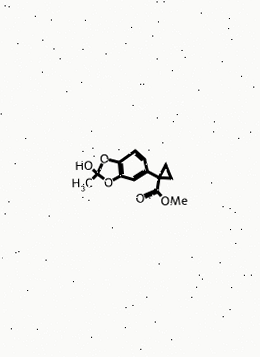 COC(=O)C1(c2ccc3c(c2)OC(C)(O)O3)CC1